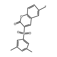 Cc1cc(C)cc(S(=O)(=O)c2cc3cc(F)ccc3oc2=O)c1